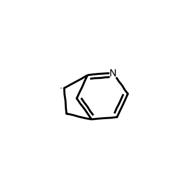 [CH]1Cc2ccnc1c2